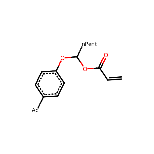 C=CC(=O)OC(CCCCC)Oc1ccc(C(C)=O)cc1